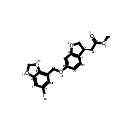 COC(=O)C[C@@H]1COc2cc(OCc3cc(F)cc4c3OCO4)ccc21